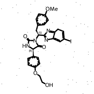 COc1ccc(C[C@@H](C2=NC3=CC(I)=CCC3=N2)N2C(=O)N[C@H](c3ccc(OCCO)cc3)C2=O)cc1